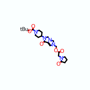 CC(C)(C)OC(=O)N1CCC(N2CN3CN(COC(=O)CN4CCCC4=O)C=C3C2=O)CC1